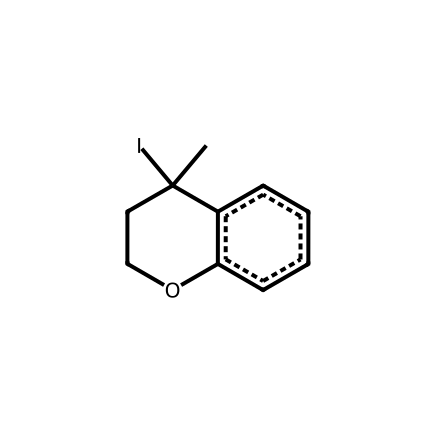 CC1(I)CCOc2ccccc21